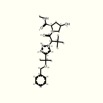 CNC(=O)[C@H]1CC(O)CN1C(=O)C(n1cc(C(C)(C)OCc2ccccc2)nn1)C(C)(C)C